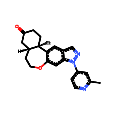 CC[C@]12CCC(=O)C[C@H]1CCOc1cc3c(cnn3-c3ccnc(C)c3)cc12